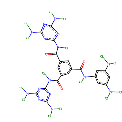 O=C(c1cc(C(=O)N(Cl)c2nc(N(Cl)Cl)nc(N(Cl)Cl)n2)cc(C(=O)N(Cl)c2nc(N(Cl)Cl)nc(N(Cl)Cl)n2)c1)N(Cl)c1cc(N(Cl)Cl)cc(N(Cl)Cl)c1